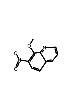 COc1c([N+](=O)[O-])ccc2cccnc12